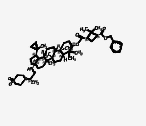 C[C@@H](CN[C@]12CC[C@@H](C3(C)CC3)[C@@H]1[C@H]1CC[C@@H]3[C@@]4(C)CC[C@H](OC(=O)[C@H]5C[C@@H](C(=O)OCc6ccccc6)C5(C)C)C(C)(C)[C@@H]4CC[C@@]3(C)[C@]1(C)CC2)N1CCS(=O)(=O)CC1